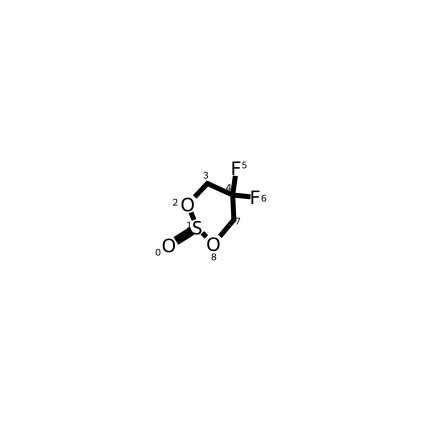 O=S1OCC(F)(F)CO1